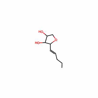 CCCC=CC1OCC(O)C1O